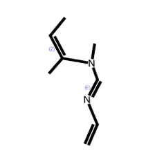 C=C/N=C/N(C)/C(C)=C\C